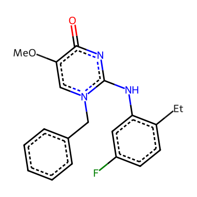 CCc1ccc(F)cc1Nc1nc(=O)c(OC)cn1Cc1ccccc1